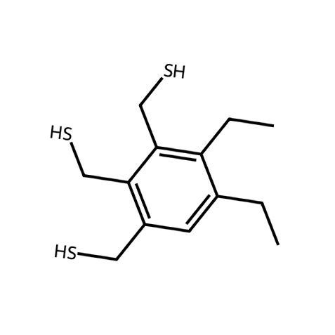 CCc1cc(CS)c(CS)c(CS)c1CC